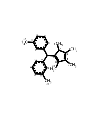 CC1=C(C)C(C)C(C(c2cccc(C)c2)c2cccc(C)c2)=C1C